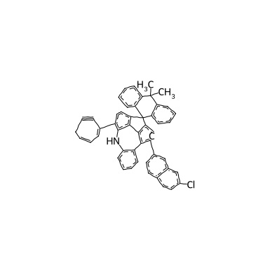 CC1(C)c2ccccc2C2(c3ccccc31)c1ccc(C3=CC=CCC#C3)c3c1-c1c2ccc(-c2ccc4ccc(Cl)cc4c2)c1-c1ccccc1N3